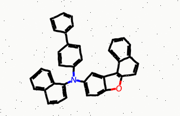 c1ccc(-c2ccc(N(c3ccc4oc5ccc6ccccc6c5c4c3)c3cccc4ccccc34)cc2)cc1